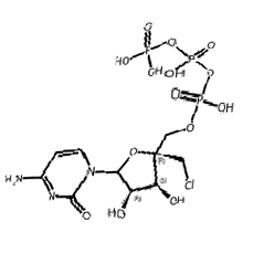 Nc1ccn(C2O[C@](CCl)(COP(=O)(O)OP(=O)(O)OP(=O)(O)O)[C@@H](O)[C@H]2O)c(=O)n1